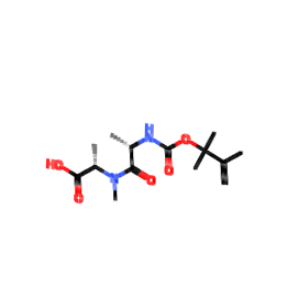 C=C(C)C(C)(C)OC(=O)N[C@@H](C)C(=O)N(C)[C@@H](C)C(=O)O